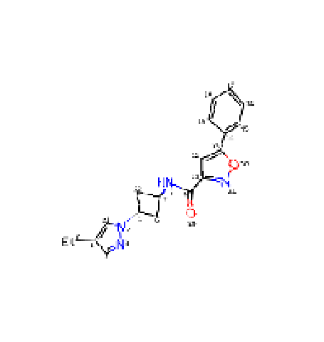 CCc1cnn([C@H]2C[C@H](NC(=O)c3cc(-c4ccccc4)on3)C2)c1